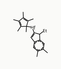 CCC1[C]([Hf][C]2(C)C(C)=C(C)C(C)=C2C)=Cc2cc(C)c(C)cc21